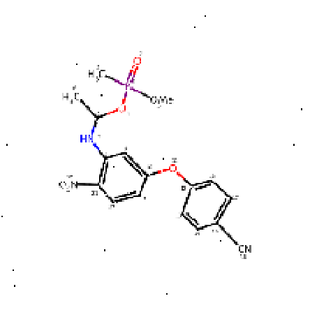 COP(C)(=O)OC(C)Nc1cc(Oc2ccc(C#N)cc2)ccc1[N+](=O)[O-]